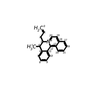 C=CCC1C(C)c2ccccc2-c2c3ccccc3cc[n+]21